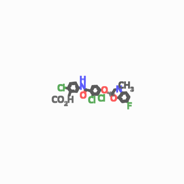 CN1C[C@@H](COc2ccc(C(=O)Nc3ccc(Cl)c(CC(=O)O)c3)c(Cl)c2Cl)Oc2cc(F)ccc21